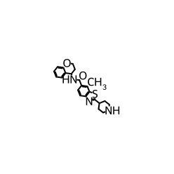 Cc1c(C(=O)NC2CCOc3ccccc32)ccc2nc(C3CCNCC3)sc12